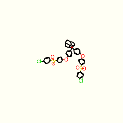 O=S(=O)(c1ccc(Cl)cc1)c1ccc(Oc2ccc(C3(c4ccc(Oc5ccc(S(=O)(=O)c6ccc(Cl)cc6)cc5)cc4)C4CC5CC(C4)CC3C5)cc2)cc1